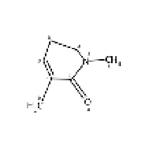 CC1=CCCN(C)C1=O